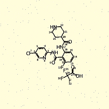 O=C(Nc1ccc(Cl)cn1)c1c(F)cccc1NC(=O)C1CCNCC1.O=C(O)C(F)(F)F